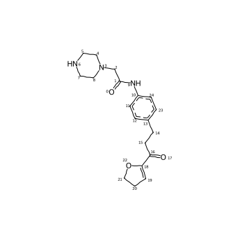 O=C(CN1CCNCC1)Nc1ccc(CCC(=O)C2=CCCO2)cc1